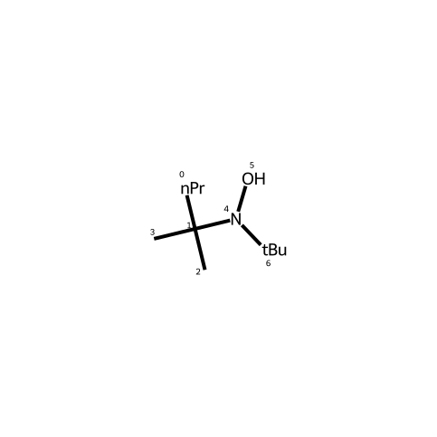 CCCC(C)(C)N(O)C(C)(C)C